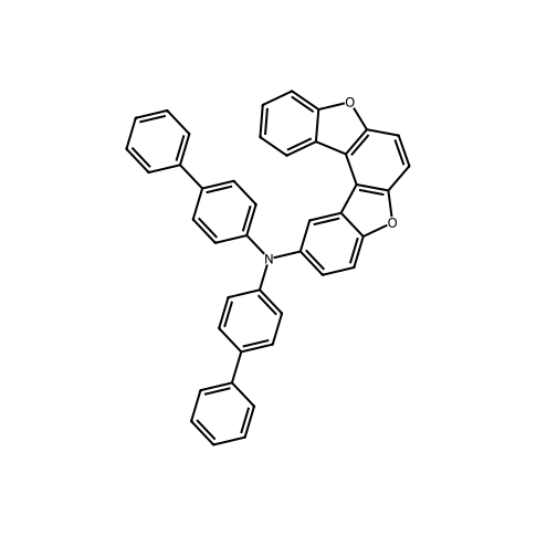 c1ccc(-c2ccc(N(c3ccc(-c4ccccc4)cc3)c3ccc4oc5ccc6oc7ccccc7c6c5c4c3)cc2)cc1